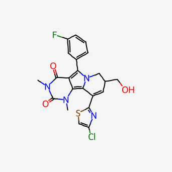 Cn1c(=O)c2c(-c3cccc(F)c3)n3c(c2n(C)c1=O)C(c1nc(Cl)cs1)=CC(CO)C3